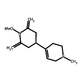 C=C1CC(C2=CCN(C)CC2)CC(=C)N1OC